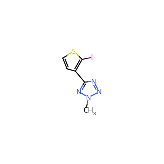 Cn1nnc(-c2ccsc2I)n1